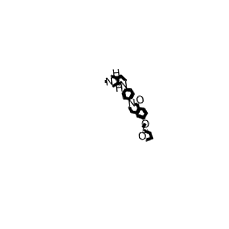 CN1C[C@@H]2CCN(c3ccc(N4CCc5cc(OC[C@@H]6CCCO6)ccc5C4=O)cc3)[C@@H]2C1